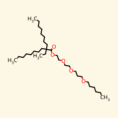 CCCCCCCCC(CC)(CCCCCCCC)C(=O)OCCOCCOCCCOCCCCCC